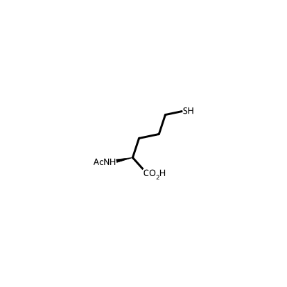 CC(=O)N[C@@H](CCCS)C(=O)O